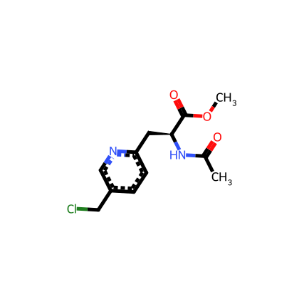 COC(=O)[C@H](Cc1ccc(CCl)cn1)NC(C)=O